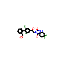 O=C(CN1C(=O)NC2(CCC(F)(F)CC2)C1=O)c1cc(F)c(-c2ccccc2CO)c(F)c1